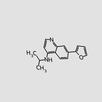 CC(C)Nc1ccnc2cc(-c3ccco3)ccc12